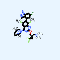 Cc1c(Cl)cc2[nH]nc(C)c2c1-c1c(F)cc2c(N3C[C@H]4CC[C@](C)(C3)N4)nc(OC[C@]3(CN(C)C)CC3(F)F)nc2c1F